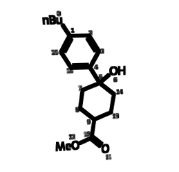 CCCCc1ccc(C2(O)CCC(C(=O)OC)CC2)cc1